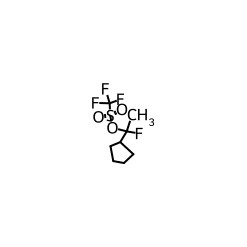 CC(F)(OS(=O)(=O)C(F)(F)F)C1CCCC1